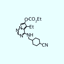 CCOC(=O)Oc1cn2ncnc(NCC3CCC(C#N)CC3)c2c1CC